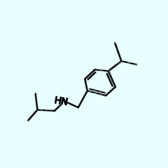 CC(C)CNCc1ccc(C(C)C)cc1